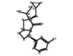 O=C1N2[C@@H](c3cncc(F)c3)CCN2C[C@]1(CC1CC1)C(F)F